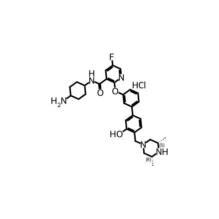 C[C@@H]1CN(Cc2ccc(-c3cccc(Oc4ncc(F)cc4C(=O)NC4CCC(N)CC4)c3)cc2O)C[C@H](C)N1.Cl